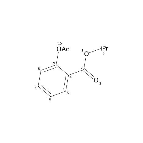 [CH2]C(C)OC(=O)c1ccccc1OC(C)=O